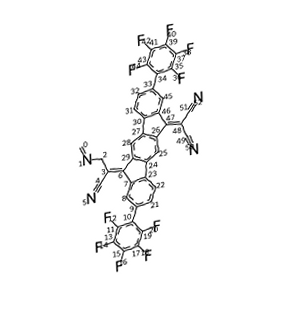 C=NC/C(C#N)=C1/c2cc(-c3c(F)c(F)c(F)c(F)c3F)ccc2-c2cc3c(cc21)-c1ccc(-c2c(F)c(F)c(F)c(F)c2F)cc1C3=C(C#N)C#N